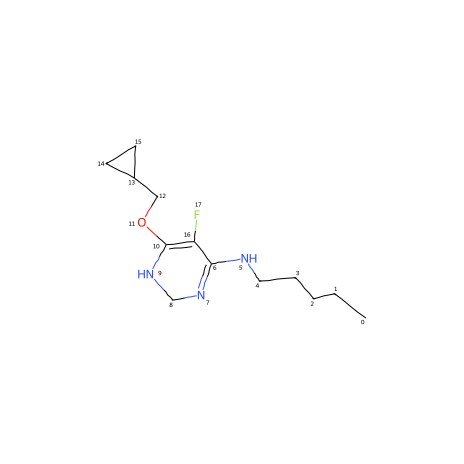 CCCCCNC1=NCNC(OCC2CC2)=C1F